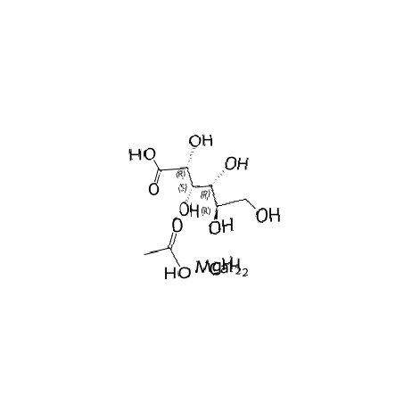 CC(=O)O.O=C(O)[C@H](O)[C@@H](O)[C@H](O)[C@H](O)CO.[CaH2].[MgH2]